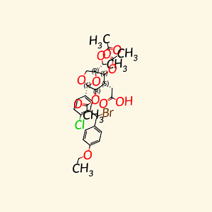 CCOc1ccc(C(Br)c2cc([C@]34OC[C@](C(C)OC(C)=O)(O3)[C@@H](OC(C)=O)[C@H](CC(=O)O)[C@H]4OC(C)=O)ccc2Cl)cc1